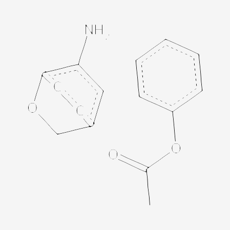 CC(=O)Oc1ccccc1.Nc1cc2ccc1OC2